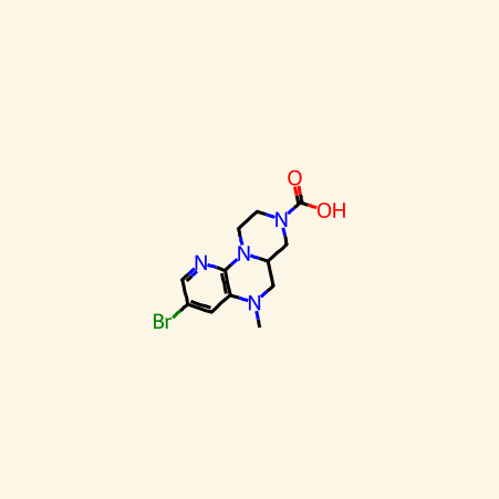 CN1CC2CN(C(=O)O)CCN2c2ncc(Br)cc21